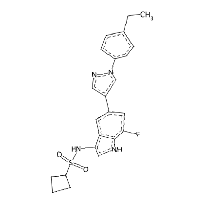 CCc1ccc(-n2cc(-c3cc(F)c4[nH]cc(NS(=O)(=O)C5CCC5)c4c3)cn2)cc1